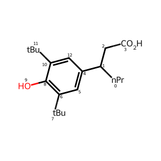 CCCC(CC(=O)O)c1cc(C(C)(C)C)c(O)c(C(C)(C)C)c1